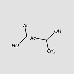 CC(=O)C(C)O.CC(=O)CO